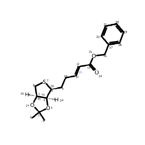 CC1(C)O[C@H]2[C@H](CS[C@H]2CC/C=C/C(=O)OCc2ccccc2)O1